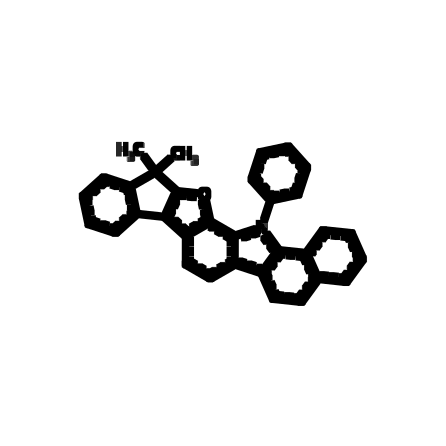 CC1(C)c2ccccc2-c2c1oc1c2ccc2c3ccc4ccccc4c3n(-c3ccccc3)c21